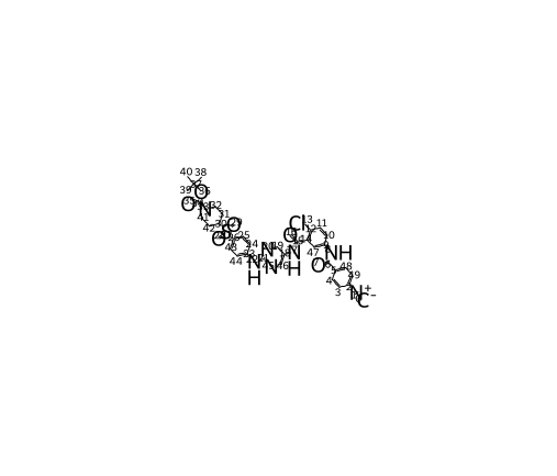 [C-]#[N+]c1ccc(C(=O)Nc2ccc(Cl)c(C(=O)Nc3cnc(Nc4ccc(S(=O)(=O)C5CCN(C(=O)OC(C)(C)C)CC5)cc4)nc3)c2)cc1